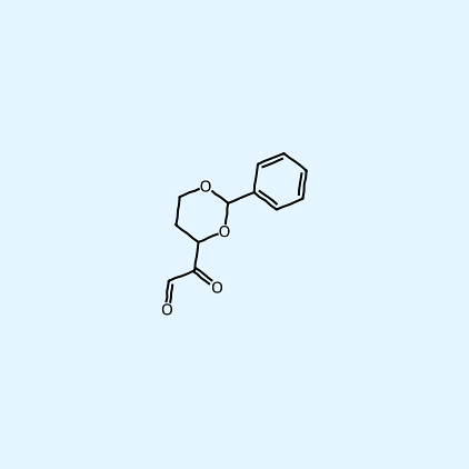 O=CC(=O)C1CCOC(c2ccccc2)O1